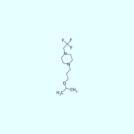 CC(C)OCCCN1CCN(CC(F)(F)F)CC1